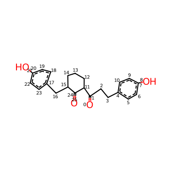 O=C(CCc1ccc(O)cc1)C1CCCC(Cc2ccc(O)cc2)C1=O